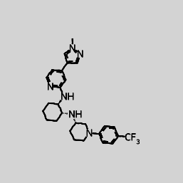 Cn1cc(-c2ccnc(N[C@@H]3CCCC[C@H]3N[C@H]3CCCN(c4ccc(C(F)(F)F)cc4)C3)c2)cn1